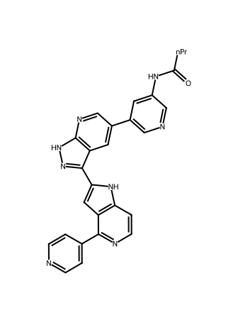 CCCC(=O)Nc1cncc(-c2cnc3[nH]nc(-c4cc5c(-c6ccncc6)nccc5[nH]4)c3c2)c1